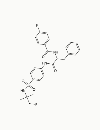 CC(C)(CF)NS(=O)(=O)c1ccc(NC(=O)C(Cc2ccccc2)NC(=O)c2ccc(F)cc2)cc1